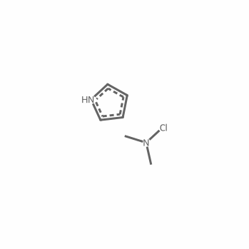 CN(C)Cl.c1cc[nH]c1